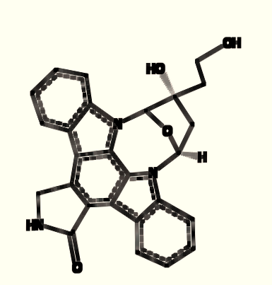 O=C1NCc2c1c1c3ccccc3n3c1c1c2c2ccccc2n1C1O[C@H]3C[C@]1(O)CCO